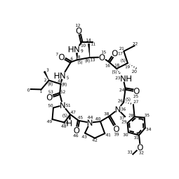 CC[C@@H](C)[C@H]1NC(=O)[C@@H](NC(C)=O)[C@@H](C)OC(=O)[C@H]([C@@H](C)CC)NC(=O)[C@H](Cc2ccc(OC)cc2)N(C)C(=O)C2CCCN2C(=O)[C@@H]2CCCN2C1=O